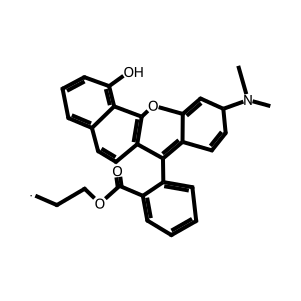 [CH2]CCOC(=O)c1ccccc1C1=C2C=CC(N(C)C)C=C2Oc2c1ccc1cccc(O)c21